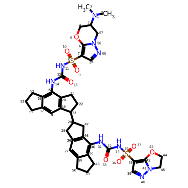 CN(C)C1COc2c(S(=O)(=O)NC(=O)Nc3c4c(cc5c3CCC5C3Cc5cc6c(c(NC(=O)NS(=O)(=O)c7cnn8c7OCC8)c5C3)CCC6)CCC4)cnn2C1